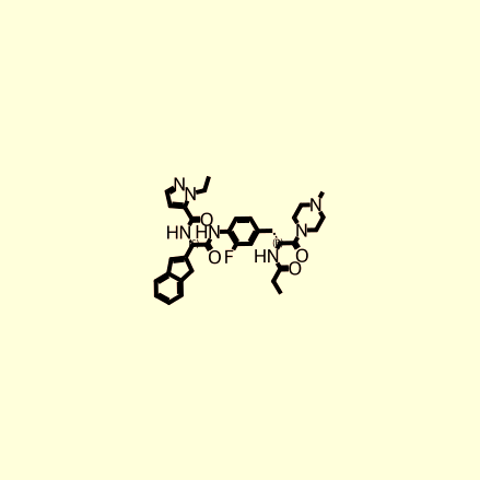 CCC(=O)N[C@H](Cc1ccc(NC(=O)[C@@H](NC(=O)c2ccnn2CC)C2=Cc3ccccc3C2)c(F)c1)C(=O)N1CCN(C)CC1